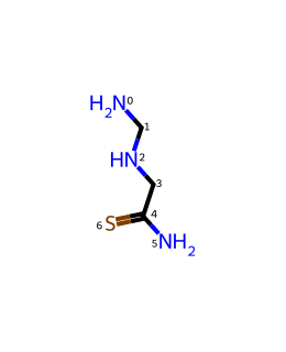 NCNCC(N)=S